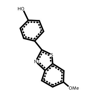 COc1ccc2nc(-c3ccc(O)cc3)sc2c1